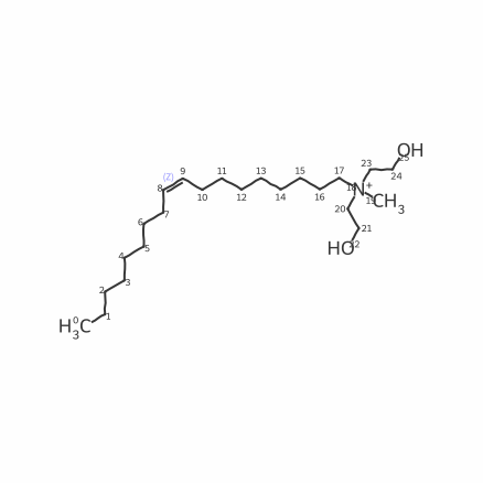 CCCCCCCC/C=C\CCCCCCCC[N+](C)(CCO)CCO